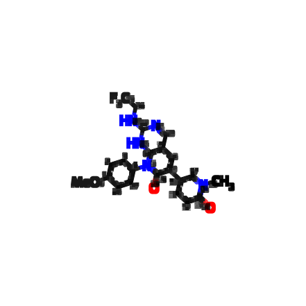 COc1ccc(-n2c3c(cc(-c4ccc(=O)n(C)c4)c2=O)C=NC(NCC(F)(F)F)N3)cc1